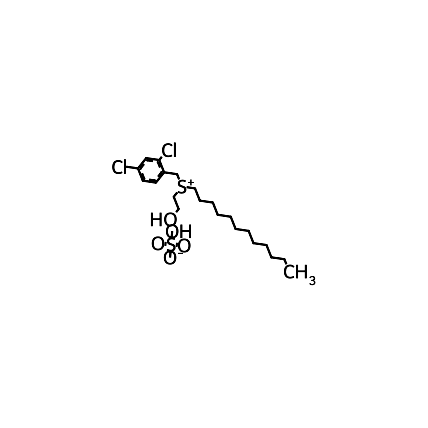 CCCCCCCCCCCC[S+](CCO)Cc1ccc(Cl)cc1Cl.O=S(=O)([O-])O